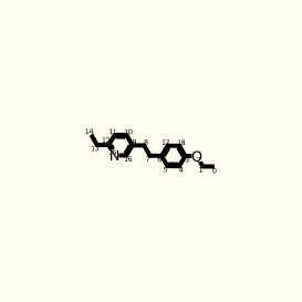 CCOc1ccc(CCc2ccc(CC)nc2)cc1